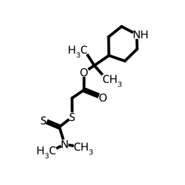 CN(C)C(=S)SCC(=O)OC(C)(C)C1CCNCC1